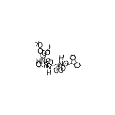 C=CCOC(=O)C[C@H](Cc1ccc(OC(C)(C)C)cc1)NC(=O)N(Cc1ccccc1)NC(=O)CC[C@H](NC(=O)OCC1c2ccccc2-c2ccccc21)C(=O)OC